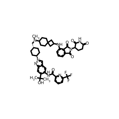 CN(C[C@H]1CC[C@H](n2cc3cc(NC(=O)c4cccc(C(F)(F)F)n4)c(C(C)(C)O)cc3n2)CC1)C1CCC2(CC1)CC(Nc1cccc3c1C(=O)N(C1CCC(=O)NC1=O)C3=O)C2